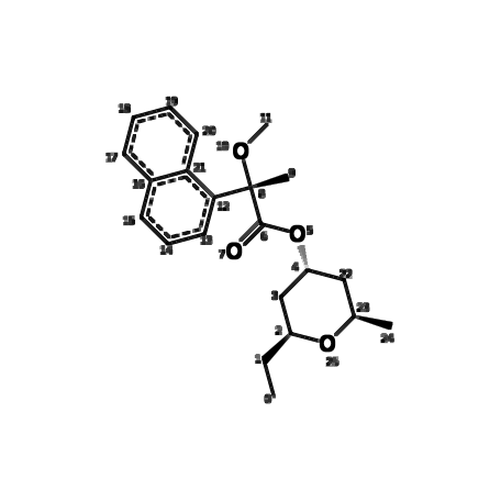 CC[C@H]1C[C@H](OC(=O)[C@@](C)(OC)c2cccc3ccccc23)C[C@@H](C)O1